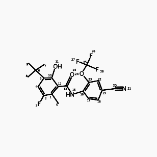 Cc1c(F)cc(C(C)(C)C)c(O)c1C(=O)Nc1ccc(C#N)cc1OC(F)(F)F